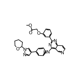 COC(=O)COc1cccc(-c2nc(Nc3ccc(-c4cnn(C5CCCCO5)c4)cc3)c3cnccc3n2)c1